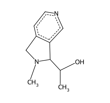 CC(O)C1c2cnccc2CN1C